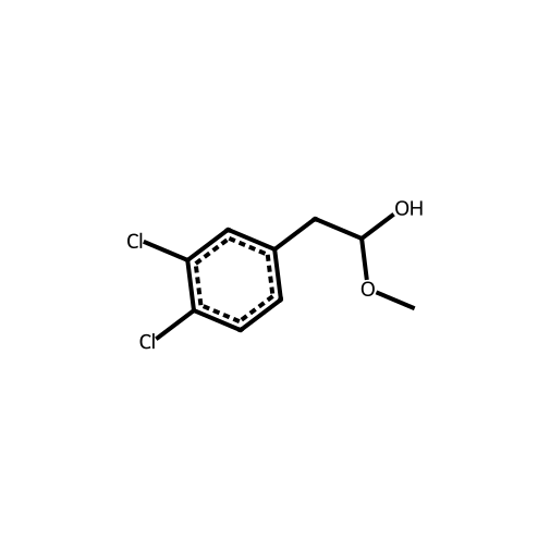 COC(O)Cc1ccc(Cl)c(Cl)c1